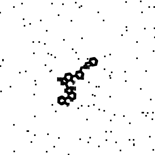 Fc1ccccc1-c1nccc2[nH]c(-c3n[nH]c4ccc(-c5cncc(CNCc6ccccc6)c5)c(F)c34)nc12